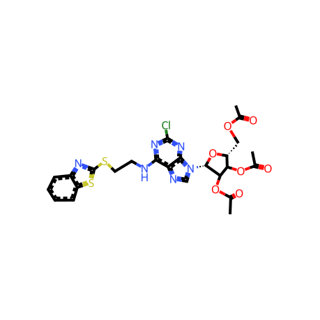 CC(=O)OC[C@H]1O[C@@H](n2cnc3c(NCCSc4nc5ccccc5s4)nc(Cl)nc32)C(OC(C)=O)C1OC(C)=O